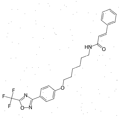 O=C(/C=C/c1ccccc1)NCCCCCCOc1ccc(-c2noc(C(F)(F)F)n2)cc1